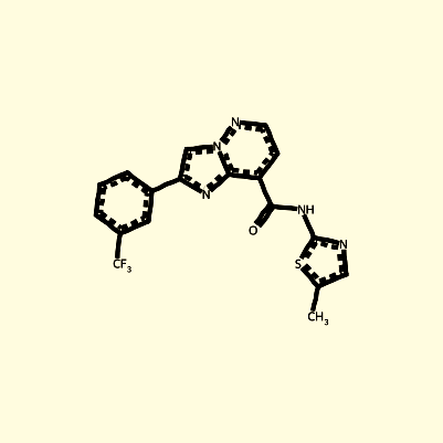 Cc1cnc(NC(=O)c2ccnn3cc(-c4cccc(C(F)(F)F)c4)nc23)s1